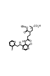 C[C@@H](CN(CCC(=O)Nc1c(Cl)ncnc1NCc1ncccc1F)C(=O)OC(C)(C)C)C(=O)O